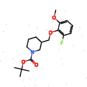 COc1cccc(F)c1OCC1CCCN(C(=O)OC(C)(C)C)C1